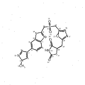 Cn1cc(-c2ccc3nc(CS(=O)(=O)Cc4nnc(CC5SC(=O)NC5=O)o4)sc3c2)cn1